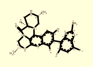 C[C@@H]1CN2c3c4c(nc5c(F)c(-c6c(F)cc(F)c7sc(N)nc67)c(Cl)cc35)O[C@H](C)CN4C(=O)[C@H]2CN1